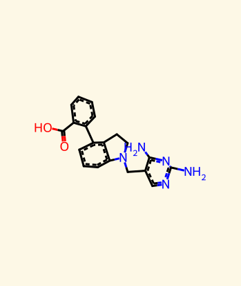 Nc1ncc(CN2CCc3c(-c4ccccc4C(=O)O)cccc32)c(N)n1